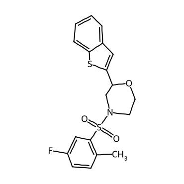 Cc1ccc(F)cc1S(=O)(=O)N1CCOC(c2cc3ccccc3s2)C1